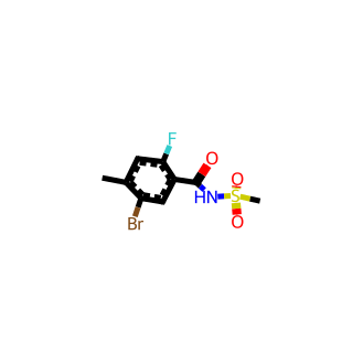 Cc1cc(F)c(C(=O)NS(C)(=O)=O)cc1Br